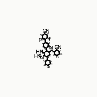 N#Cc1cc(F)c(-c2ccc3c4c(c(-c5ccccc5C#N)nc3c2)C=C(c2ccccc2)/C(=N/S)C4=N)c(F)c1